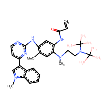 BC(B)(B)N(CCN(C)c1cc(OC)c(Nc2nccc(-c3cn(C)c4ccccc34)n2)cc1NC(=O)C=C)C(B)(B)B